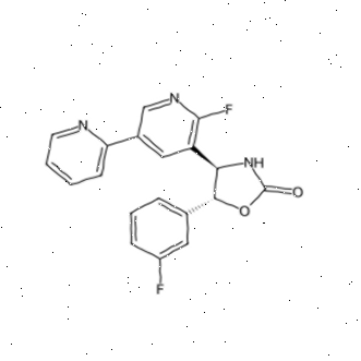 O=C1N[C@H](c2cc(-c3ccccn3)cnc2F)[C@@H](c2cccc(F)c2)O1